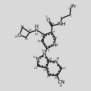 CC(C)CCNC(=O)c1cnc(-n2ncc3cc(C#N)cnc32)cc1NC1COC1